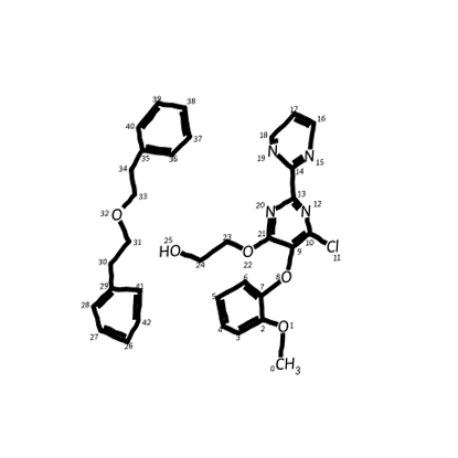 COc1ccccc1Oc1c(Cl)nc(-c2ncccn2)nc1OCCO.c1ccc(CCOCCc2ccccc2)cc1